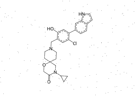 O=C1COC2(CCN(Cc3cc(Cl)c(-c4ccc5cc[nH]c5c4)cc3O)CC2)CN1C1CC1